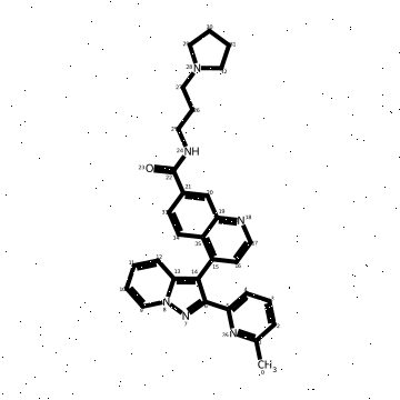 Cc1cccc(-c2nn3ccccc3c2-c2ccnc3cc(C(=O)NCCCN4CCCC4)ccc23)n1